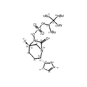 CCCCN(OS(=O)(=O)ON1C(=O)N2C[C@@H]1CC[C@H]2c1nnco1)C(CCC)(CCCC)CCCC